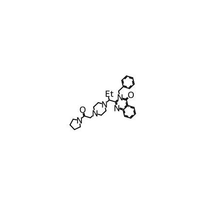 CCC(c1nc2ccccc2c(=O)n1Cc1ccccc1)N1CCN(CC(=O)N2CCCC2)CC1